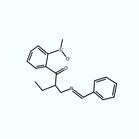 CCC(C/N=C/c1ccccc1)C(=O)c1ccccc1[S+](C)[O-]